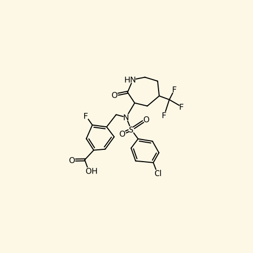 O=C(O)c1ccc(CN(C2CC(C(F)(F)F)CCNC2=O)S(=O)(=O)c2ccc(Cl)cc2)c(F)c1